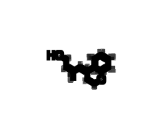 CC(=C/CO)/C=C1\CCOc2ccccc21